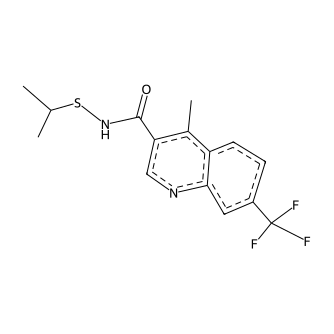 Cc1c(C(=O)NSC(C)C)cnc2cc(C(F)(F)F)ccc12